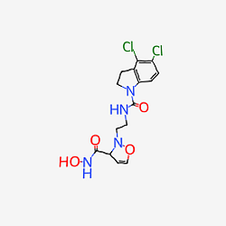 O=C(NO)C1C=CON1CCNC(=O)N1CCc2c1ccc(Cl)c2Cl